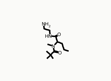 CCCC(C(=O)NCCN)N(C)C(=O)C(C)(C)C